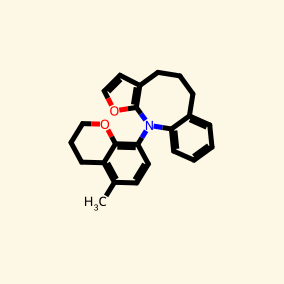 Cc1ccc(N2c3ccccc3CCCc3ccoc32)c2c1CCCO2